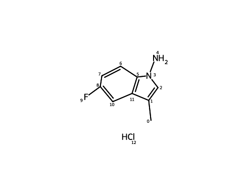 Cc1cn(N)c2ccc(F)cc12.Cl